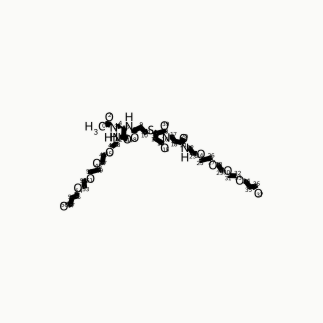 CC(=O)NC[C@@H](NC(=O)CCSC1CC(=O)N(CCC(=O)NCCOCCOCCOCCOCCC=O)C1=O)C(=O)NCCOCCOCCOCCOCCC=O